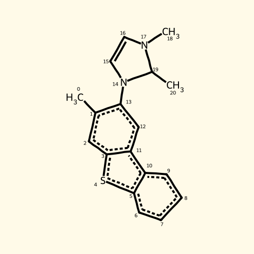 Cc1cc2sc3ccccc3c2cc1N1C=CN(C)C1C